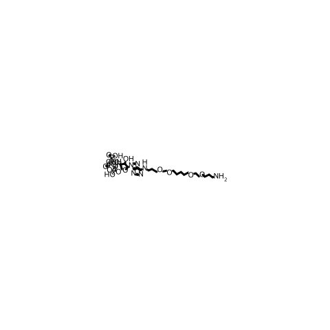 NCCCOCCOCCCCCOCCOCCCNc1ncnc2c1ncn2C1OC(OP(=O)(O)OP(=O)(O)OP(=O)(O)O)C(O)C1O